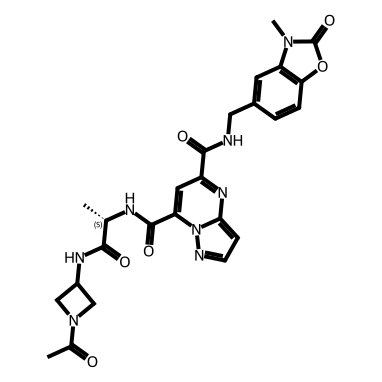 CC(=O)N1CC(NC(=O)[C@H](C)NC(=O)c2cc(C(=O)NCc3ccc4oc(=O)n(C)c4c3)nc3ccnn23)C1